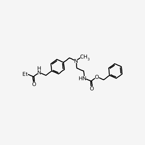 CCC(=O)NCc1ccc(CN(C)CCNC(=O)OCc2ccccc2)cc1